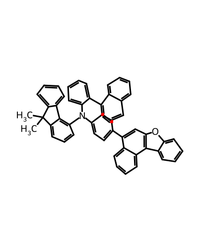 CC1(C)c2ccccc2-c2c(N(c3ccc(-c4cc5oc6ccccc6c5c5ccccc45)cc3)c3ccccc3-c3cccc4ccccc34)cccc21